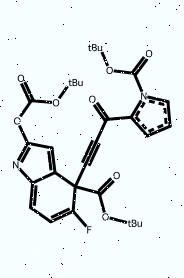 CC(C)(C)OC(=O)OC1=NC2=CC=C(F)C(C#CC(=O)c3cccn3C(=O)OC(C)(C)C)(C(=O)OC(C)(C)C)C2=C1